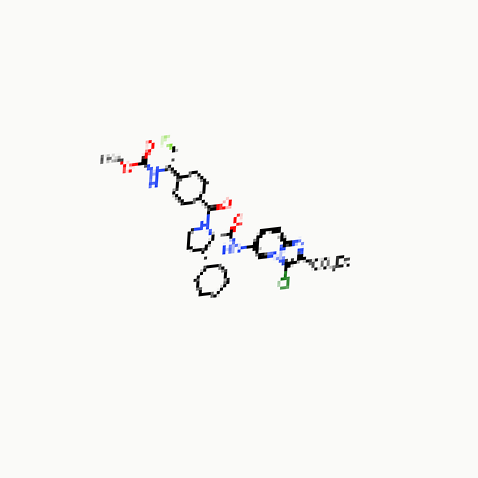 CCOC(=O)c1nc2ccc(NC(=O)[C@@H]3[C@H](C4CCCCC4)CCN3C(=O)C3CCC([C@@H](CF)NC(=O)OC(C)(C)C)CC3)cn2c1Cl